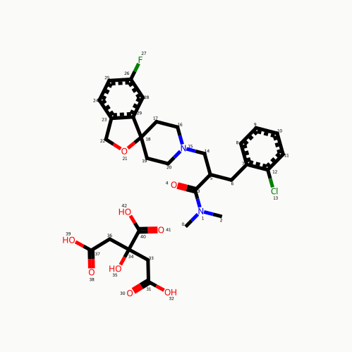 CN(C)C(=O)C(Cc1ccccc1Cl)CN1CCC2(CC1)OCc1ccc(F)cc12.O=C(O)CC(O)(CC(=O)O)C(=O)O